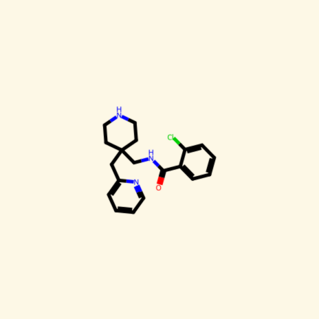 O=C(NCC1(Cc2ccccn2)CCNCC1)c1ccccc1Cl